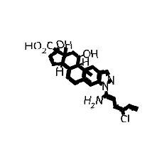 C=C/C(Cl)=C\C=C(/N)n1ncc2c1C=C1CCC3[C@H]([C@@H](O)CC4(C)[C@H]3CCC4(O)C(=O)O)C1(C)C2